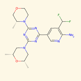 C[C@@H]1CN(c2nc(-c3cnc(N)c(C(F)F)c3)nc(N3CCOC[C@H]3C)n2)C[C@H](C)O1